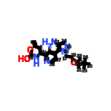 C=CCC(NC(=O)O)c1cc(-c2c(N)cnn2CCO[Si](C)(C)C(C)(C)C)ccn1